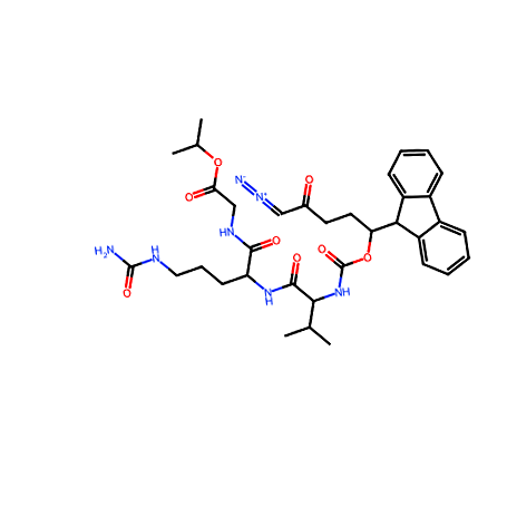 CC(C)OC(=O)CNC(=O)C(CCCNC(N)=O)NC(=O)C(NC(=O)OC(CCC(=O)C=[N+]=[N-])C1c2ccccc2-c2ccccc21)C(C)C